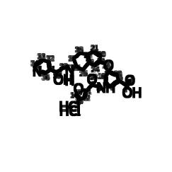 Cl.Cl.O=C(O)c1cc(NC(=O)c2ccco2)cc(Oc2ccc3c(c2)C[C@@H](NC[C@H](O)c2cccnc2)CC3)c1